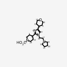 O=C(O)N1CCC(c2nc(C3CCOCC3)cn2CCN2CCCC2)CC1